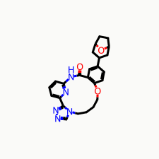 O=C1Nc2cccc(n2)-c2nncn2CCCCOc2ccc(C3CC4CCC(C3)O4)cc21